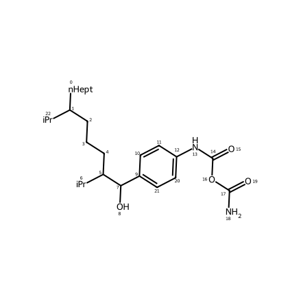 CCCCCCCC(CCCC(C(C)C)C(O)c1ccc(NC(=O)OC(N)=O)cc1)C(C)C